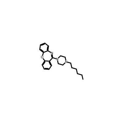 CCCCCCN1CCN(C2=Nc3ccccc3Oc3ccccc32)CC1